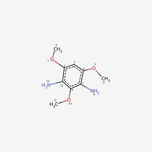 COc1cc(OC)c(N)c(OC)c1N